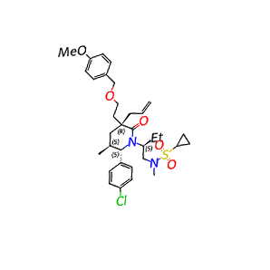 C=CC[C@]1(CCOCc2ccc(OC)cc2)C[C@H](C)[C@@H](c2ccc(Cl)cc2)N([C@@H](CC)CN(C)S(=O)(=O)C2CC2)C1=O